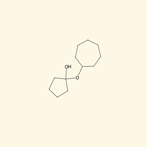 OC1(OC2CCCCCC2)CCCC1